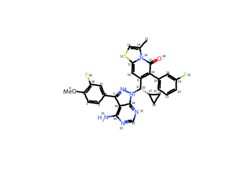 COc1ccc(-c2nn([C@H](c3cc4scc(C)n4c(=O)c3-c3cccc(F)c3)C3CC3)c3ncnc(N)c23)cc1F